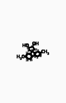 Cc1ccc2c(c1)C1(C[C@@H](O)[C@@H](O)C1)c1cc(C)ccc1-2